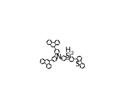 c1ccc2c(c1)cc(-c1ccc3c(c1)c1cc(-c4cc5ccccc5c5ccccc45)ccc1n3-c1ccc3c(c1)[SiH2]c1cc(-c4cccc5c4sc4ccccc45)ccc1-3)c1ccccc12